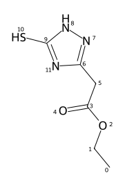 CCOC(=O)Cc1n[nH]c(S)n1